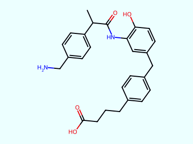 CC(C(=O)Nc1cc(Cc2ccc(CCCC(=O)O)cc2)ccc1O)c1ccc(CN)cc1